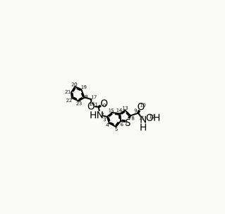 O=C(Nc1ccc2sc(C(=O)NO)cc2c1)OCc1ccccc1